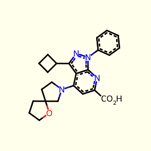 O=C(O)c1cc(N2CCC3(CCCO3)C2)c2c(C3CCC3)nn(-c3ccccc3)c2n1